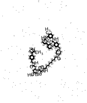 Cc1ccc(NC(=O)c2ccc(CN3CCN(C(=O)CCCCCCCCC(=O)N[C@H](C(=O)N4C[C@H](O)C[C@H]4CC(=O)NCc4ccc(-c5scnc5C)cc4)C(C)(C)C)CC3)cc2)cc1Nc1nccc(-c2cccnc2)n1